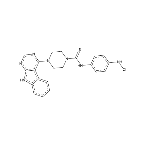 S=C(Nc1ccc(NCl)cc1)N1CCN(c2ncnc3[nH]c4ccccc4c23)CC1